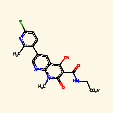 Cc1nc(F)ccc1-c1cnc2c(c1)c(O)c(C(=O)NCC(=O)O)c(=O)n2C